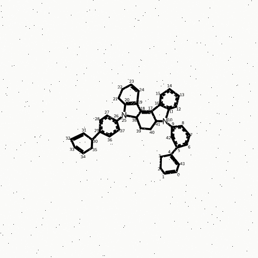 C1=CCCC(c2cccc(N3c4ccccc4C4=C5C6=C(CCC=C6)N(c6ccc(C7C=CC=CC7)cc6)C5CCC43)c2)=C1